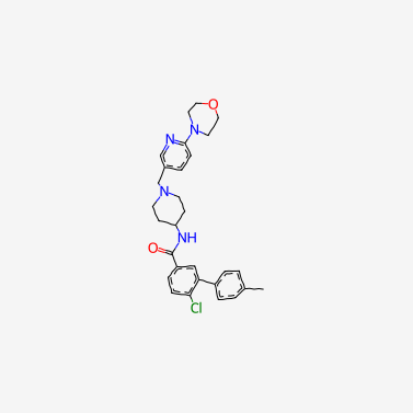 Cc1ccc(-c2cc(C(=O)NC3CCN(Cc4ccc(N5CCOCC5)nc4)CC3)ccc2Cl)cc1